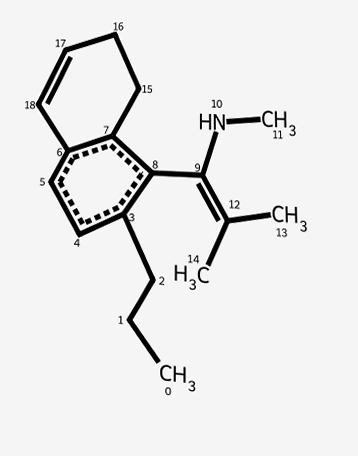 CCCc1ccc2c(c1C(NC)=C(C)C)CCC=C2